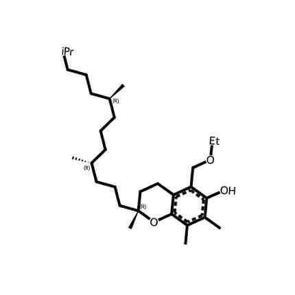 CCOCc1c(O)c(C)c(C)c2c1CC[C@@](C)(CCC[C@H](C)CCC[C@H](C)CCCC(C)C)O2